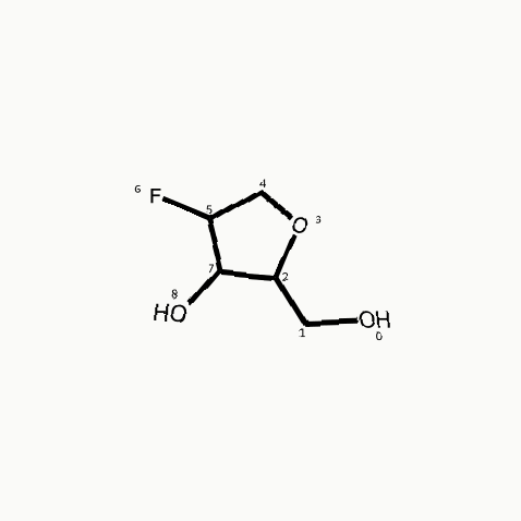 OCC1OCC(F)C1O